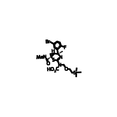 CNC(=O)[C@]12C[C@H]1[C@@](C)(c1cc(Br)ccc1F)N=C(N(COCC[Si](C)(C)C)C(=O)O)S2